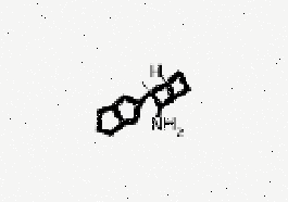 C[C@@]1(C2CC3CCCC3C2)[C@H](N)C2CC[C@@H]21